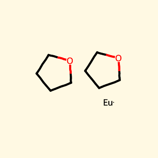 C1CCOC1.C1CCOC1.[Eu]